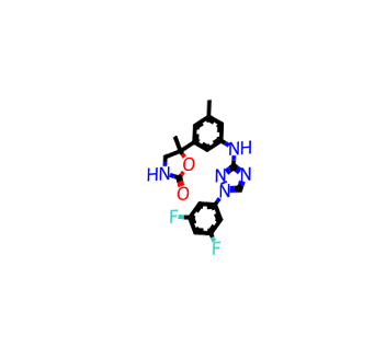 Cc1cc(Nc2ncn(-c3cc(F)cc(F)c3)n2)cc(C2(C)CNC(=O)O2)c1